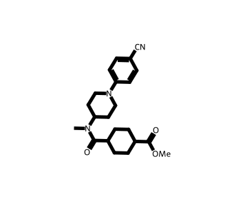 COC(=O)C1CCC(C(=O)N(C)C2CCN(c3ccc(C#N)cc3)CC2)CC1